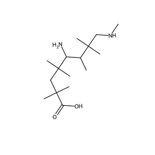 CNCC(C)(C)C(C)C(N)C(C)(C)CC(C)(C)C(=O)O